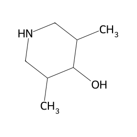 CC1CNCC(C)C1O